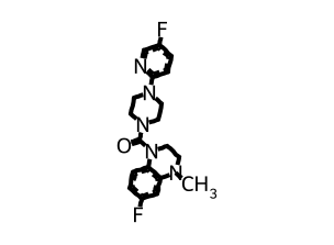 CN1CCN(C(=O)N2CCN(c3ccc(F)cn3)CC2)c2ccc(F)cc21